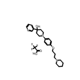 O=C(O)C(F)(F)F.OC1(c2cccnc2)CCN(c2ccc(OCCCN3CCCCC3)cc2)CC1